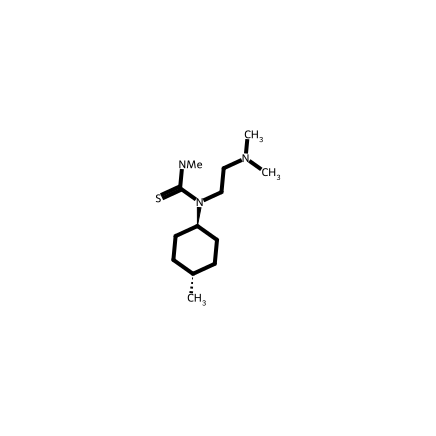 CNC(=S)N(CCN(C)C)[C@H]1CC[C@H](C)CC1